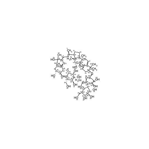 C[C@H](CC[C@@H](O[C@@H]1OC[C@@H](O)[C@H](O)[C@H]1O[C@H]1O[C@@H](CO)[C@H](O)[C@@H](O)[C@@H]1O)C(C)(C)O)C1CC[C@@]2(C)C3CC=C4C(CC[C@H](O[C@@H]5O[C@H]([C@@H](C)O)[C@@H](C6O[C@H](CO)[C@@H](O)[C@H](O)[C@H]6O)[C@H](O)[C@H]5O)C4(C)C)[C@]3(C)[C@H](O)C[C@]12C